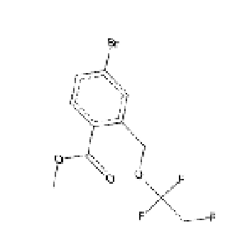 COC(=O)c1ccc(Br)cc1COC(F)(F)CF